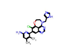 Cc1cc(N)nc(-c2cc3ncnc4c3c(c2Cl)OCCN4Cc2cnc[nH]2)c1C(F)(F)F